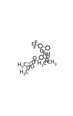 CCOC(=O)C(CC)COC(=O)Cc1ccc(NC(=O)c2ccccc2-c2ccc(C(F)(F)F)cc2)c(C(=O)N(C)C)c1